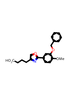 COc1ccc(-c2nc(CCCC(=O)O)co2)cc1OCc1ccccc1